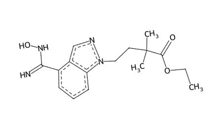 CCOC(=O)C(C)(C)CCn1ncc2c(C(=N)NO)cccc21